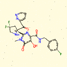 Cn1c([C@]2(C(=O)c3cccnn3)CC(F)(F)CN2)nc(C(=O)NCc2ccc(F)cc2)c(O)c1=O